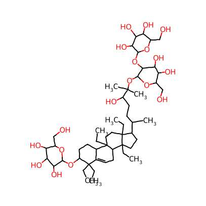 CCC1(CC)C2=CCC3C(CC)(CCC4(CC)C(C(C)CCC(O)C(C)(C)OC5OC(CO)C(O)C(O)C5OC5OC(CO)C(O)C(O)C5O)CCC34CC)C2CCC1OC1OC(CO)C(O)C(O)C1O